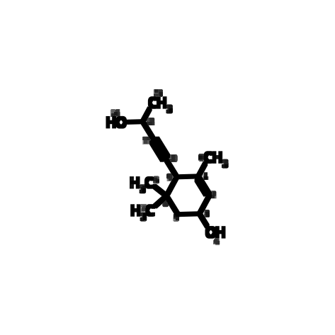 CC1=CC(O)CC(C)(C)C1C#CC(C)O